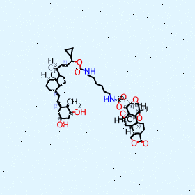 C=C1/C(=C\C=C2/CCC[C@@]3(C)C2CCC3[C@@H](C)/C=C/C(OC(=O)NCCCCCCNC(=O)O[C@@H]2[C@@]3(C(C)C)O[C@H]3[C@@H]3O[C@]34[C@]23O[C@H]3C[C@H]2C3=C(CC[C@@]24C)C(=O)OC3)C2CC2)C[C@@H](O)C[C@@H]1O